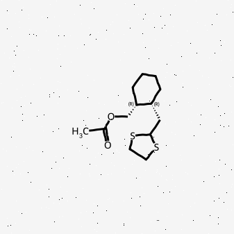 CC(=O)OC[C@@H]1CCCC[C@@H]1CC1SCCS1